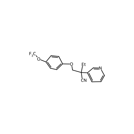 CCC(C#N)(COc1ccc(OC(F)(F)F)cc1)c1cccnc1